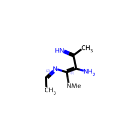 C/C=N\C(NC)=C(\N)C(C)=N